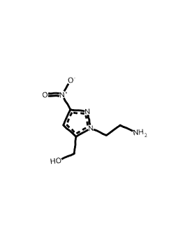 NCCn1nc([N+](=O)[O-])cc1CO